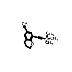 C#Cc1cc(C#C[Si](C)(C)C)c2c(c1)CCCO2